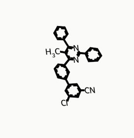 Cc1c(-c2ccccc2)nc(-c2ccccc2)nc1-c1cccc(-c2cc(Cl)cc(C#N)c2)c1